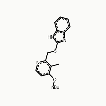 CCCCOc1ccnc(CSc2nc3ccccc3[nH]2)c1C